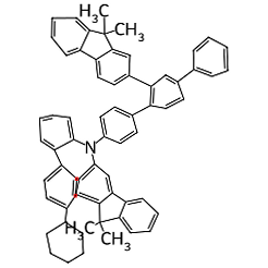 CC1(C)c2ccccc2-c2cc(N(c3ccc(-c4ccc(-c5ccccc5)cc4-c4ccc5c(c4)C(C)(C)c4ccccc4-5)cc3)c3ccccc3-c3ccc(C4CCCCC4)cc3)ccc21